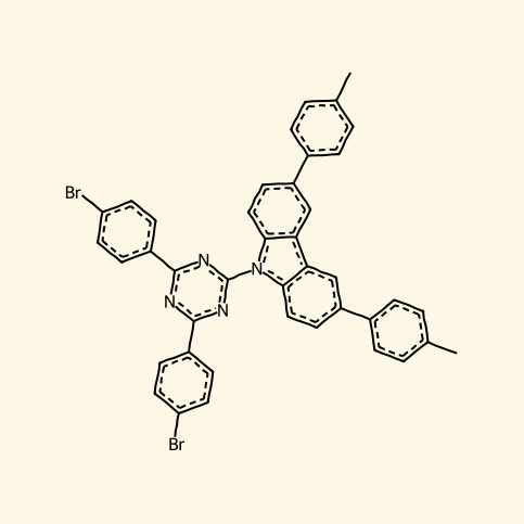 Cc1ccc(-c2ccc3c(c2)c2cc(-c4ccc(C)cc4)ccc2n3-c2nc(-c3ccc(Br)cc3)nc(-c3ccc(Br)cc3)n2)cc1